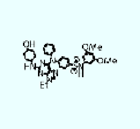 CCn1cnc2c(N(c3ccccc3)c3ccc(S(=O)(=O)Nc4cc(OC)cc(OC)c4)cc3)nc(NC3CCC(O)CC3)nc21